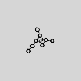 c1ccc(-c2ccc(-c3ccc4c(c3)B3c5ccccc5-c5cc(-c6ccccc6)ccc5N3c3ccc(-c5ccccc5)cc3-4)cc2)cc1